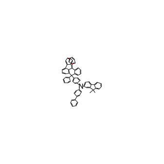 CC1(C)c2ccccc2-c2ccc(N(c3ccc(-c4ccccc4)cc3)c3ccc(C4(c5ccccc5)c5ccccc5C5(c6ccccc6)c6ccccc6-c6cccc4c65)cc3)cc21